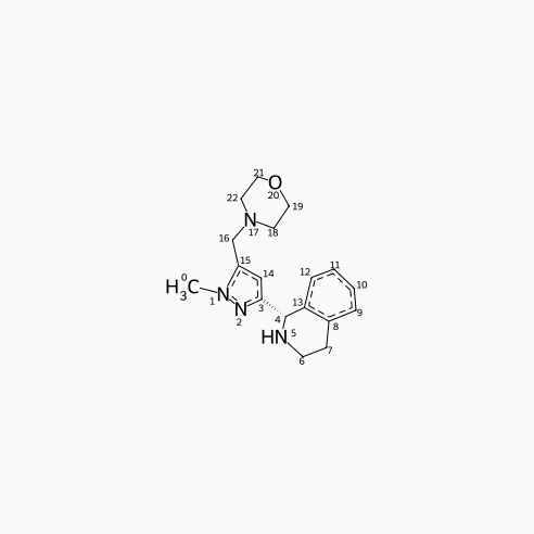 Cn1nc([C@H]2NCCc3ccccc32)cc1CN1CCOCC1